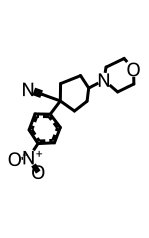 N#CC1(c2ccc([N+](=O)[O-])cc2)CCC(N2CCOCC2)CC1